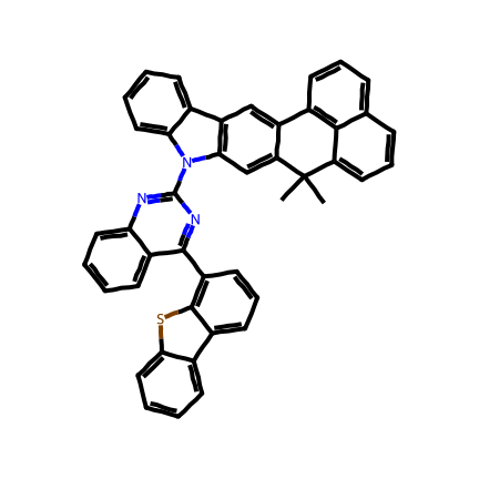 CC1(C)c2cc3c(cc2-c2cccc4cccc1c24)c1ccccc1n3-c1nc(-c2cccc3c2sc2ccccc23)c2ccccc2n1